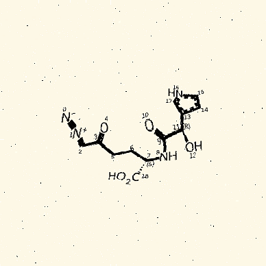 [N-]=[N+]=CC(=O)CC[C@H](NC(=O)[C@H](O)c1cc[nH]c1)C(=O)O